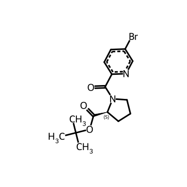 CC(C)(C)OC(=O)[C@@H]1CCCN1C(=O)c1ccc(Br)cn1